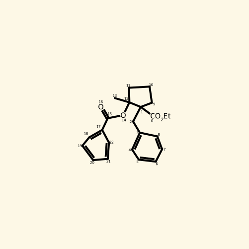 CCOC(=O)C1(Cc2ccccc2)CCCC1(C)OC(=O)c1ccccc1